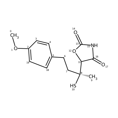 COc1ccc(CC[C@](C)(S)C2OC(=O)NC2=O)cc1